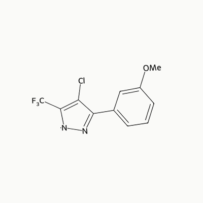 COc1cccc(C2=N[N]C(C(F)(F)F)=C2Cl)c1